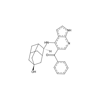 O=C(c1ccccc1)c1cnc2[nH]ccc2c1N[C@H]1C2CC3CC1C[C@@](O)(C3)C2